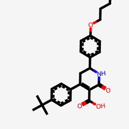 CCCCOc1ccc(C2CC(c3ccc(C(C)(C)C)cc3)=C(C(=O)O)C(=O)N2)cc1